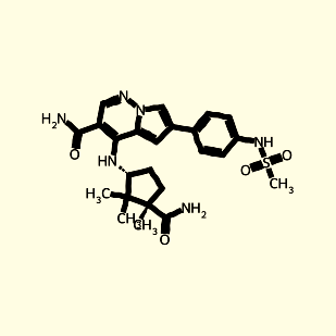 CC1(C)[C@H](Nc2c(C(N)=O)cnn3cc(-c4ccc(NS(C)(=O)=O)cc4)cc23)CC[C@]1(C)C(N)=O